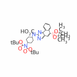 CC(C)(C)OC(=O)N(C(=O)OC(C)(C)C)C1CCC(N(C(=O)O)c2ncc3cc(B4OC(C)(C)C(C)(C)O4)c4ccccc4c3n2)CC1